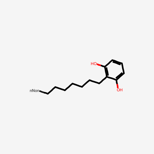 CCCCCCCCCCCCCCCCc1c(O)cccc1O